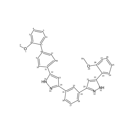 COc1ccccc1-c1ccc(-c2cc(-c3cccc(-c4cc(-c5ccccc5OC)[nH]n4)c3)n[nH]2)cc1